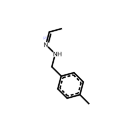 C/C=N\NCc1ccc(C)cc1